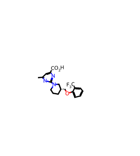 Cc1cc(C(=O)O)nc(N2CCC[C@@H](COc3ccccc3C(F)(F)F)C2)n1